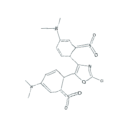 CN(C)C1=CC(=S(=O)=O)C(c2nc(Cl)oc2C2C=CC(N(C)C)=CC2=S(=O)=O)C=C1